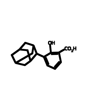 O=C(O)c1cccc(C2C3CC4CC(C3)CC2C4)c1O